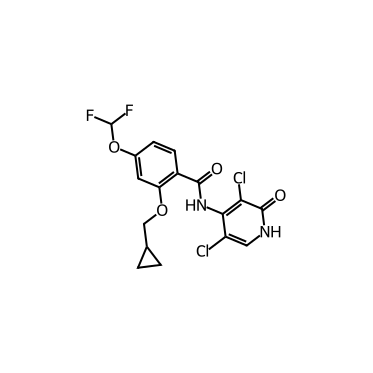 O=C(Nc1c(Cl)c[nH]c(=O)c1Cl)c1ccc(OC(F)F)cc1OCC1CC1